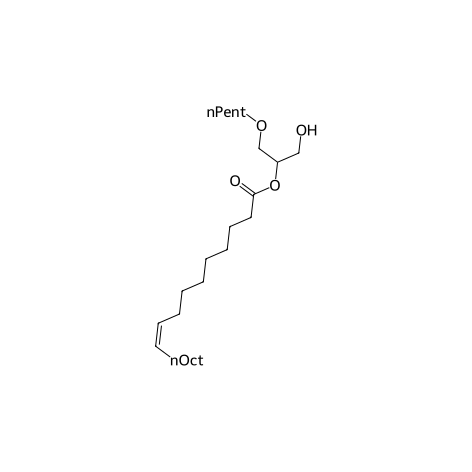 CCCCCCCC/C=C\CCCCCCCC(=O)OC(CO)COCCCCC